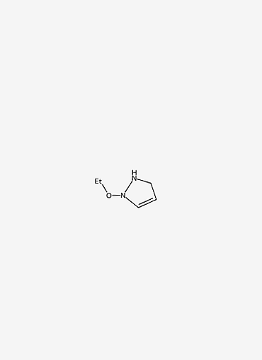 CCON1C=CCN1